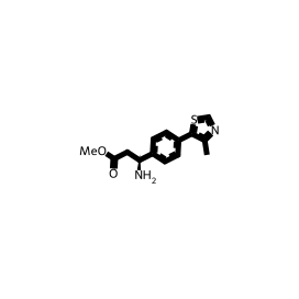 COC(=O)C[C@H](N)c1ccc(-c2scnc2C)cc1